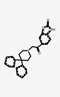 O=C(CN1CCC(c2ccccc2)(c2ccccc2)CC1)c1ccc2[nH]c(=O)oc2c1